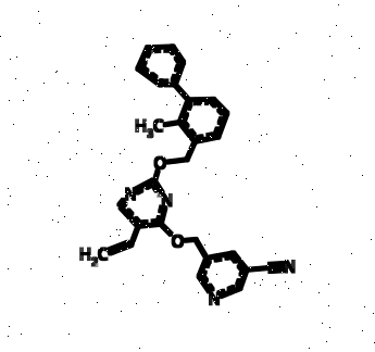 C=Cc1cnc(OCc2cccc(-c3ccccc3)c2C)nc1OCc1cncc(C#N)c1